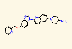 NC1CCN(c2ccc3nc(-n4cnc5cc(OCc6ccccn6)ccc54)ccc3c2)CC1